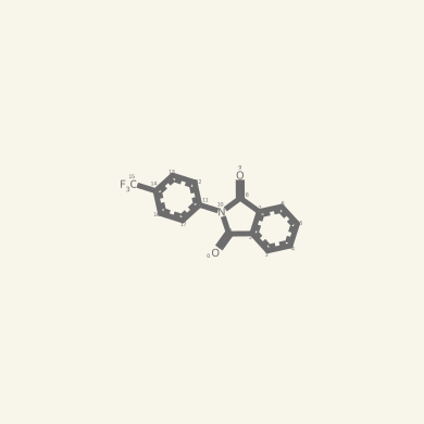 O=C1c2ccccc2C(=O)N1c1ccc(C(F)(F)F)cc1